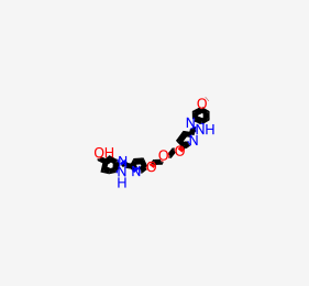 COc1ccc2[nH]c(-c3ccc(OCCOCCOc4ccc(-c5nc6cc(CO)ccc6[nH]5)nc4)cn3)nc2c1